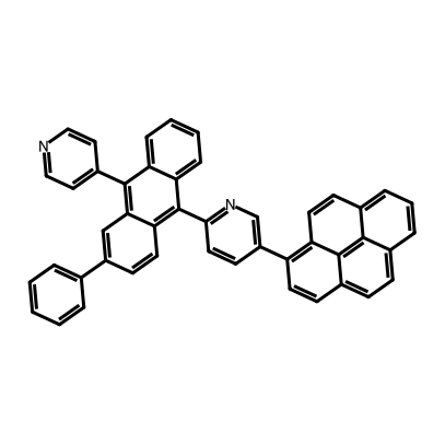 c1ccc(-c2ccc3c(-c4ccc(-c5ccc6ccc7cccc8ccc5c6c78)cn4)c4ccccc4c(-c4ccncc4)c3c2)cc1